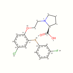 O=C(O)[C@@H]1CCCN1CCOc1ccc(Cl)cc1Sc1cccc(F)c1